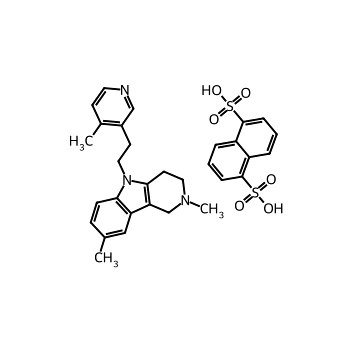 Cc1ccc2c(c1)c1c(n2CCc2cnccc2C)CCN(C)C1.O=S(=O)(O)c1cccc2c(S(=O)(=O)O)cccc12